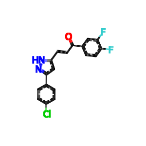 O=C(C=Cc1cc(-c2ccc(Cl)cc2)n[nH]1)c1ccc(F)c(F)c1